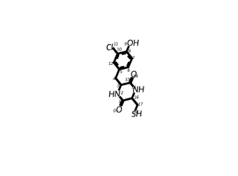 O=C1NC(Cc2ccc(O)c(Cl)c2)C(=O)NC1CS